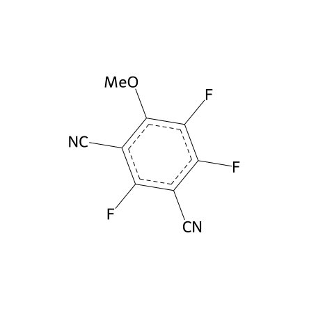 COc1c(F)c(F)c(C#N)c(F)c1C#N